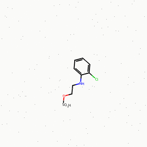 O=S(=O)(O)OCCNc1ccccc1Cl